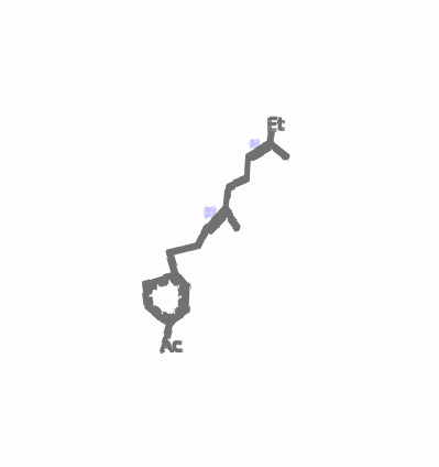 CC/C(C)=C/CC/C(C)=C/CCc1ccc(C(C)=O)cc1